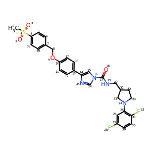 CS(=O)(=O)c1ccc(COc2ccc(-c3cn(C(=O)NCC4CCN(c5cc(F)ccc5F)C4)cn3)cc2)cc1